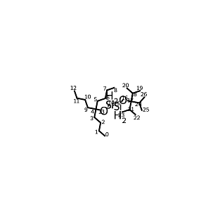 CCCCC(CCCC)(CCCC)O[SiH2][SiH2]OC(C(C)C)(C(C)C)C(C)C